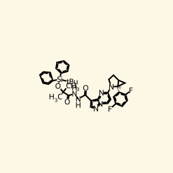 CC(C)(O[Si](c1ccccc1)(c1ccccc1)C(C)(C)C)C(=O)NNC(=O)c1cnn2ccc(N3CCC4C[C@]43c3cc(F)ccc3F)nc12